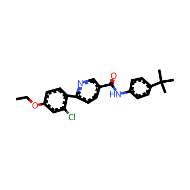 CCOc1ccc(-c2ccc(C(=O)Nc3ccc(C(C)(C)C)cc3)cn2)c(Cl)c1